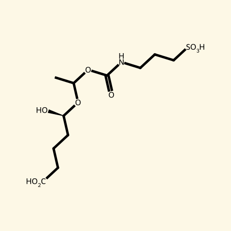 CC(OC(=O)NCCCS(=O)(=O)O)O[C@H](O)CCCC(=O)O